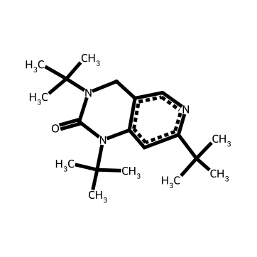 CC(C)(C)c1cc2c(cn1)CN(C(C)(C)C)C(=O)N2C(C)(C)C